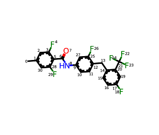 Cc1cc(F)c(C(=O)Nc2ccc(Cc3ccc(F)cc3C(F)(F)F)c(F)c2)c(F)c1